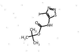 CC(C)(C)OC(=O)Nc1snnc1I